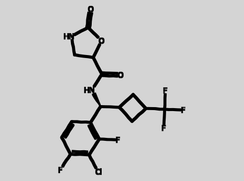 O=C1NCC(C(=O)N[C@H](c2ccc(F)c(Cl)c2F)C2CC(C(F)(F)F)C2)O1